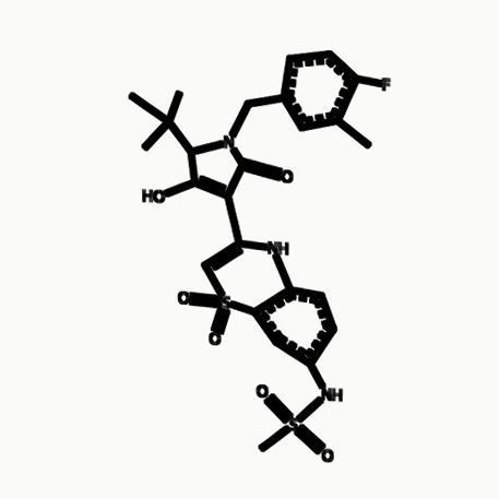 Cc1cc(CN2C(=O)C(C3=CS(=O)(=O)c4cc(NS(C)(=O)=O)ccc4N3)=C(O)C2C(C)(C)C)ccc1F